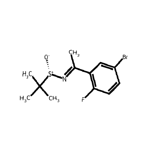 CC(=N[S@@+]([O-])C(C)(C)C)c1cc(Br)ccc1F